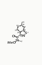 CON(C)C(=O)c1nsc2cc(C)ccc12